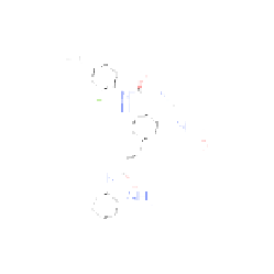 CN(CCN1CCOCC1)C(C(=O)Nc1ccc(C(F)(F)F)cc1F)c1ccc(C=CC(=O)Nc2ccccc2N)cc1